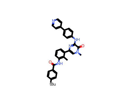 Cc1c(NC(=O)c2ccc(C(C)(C)C)cc2)cccc1-c1cn(C)c(=O)c(Nc2ccc(-c3ccncc3)cc2)n1